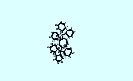 C1=CC([Si](c2ccccc2)(c2ccccc2)c2ccccc2)=CC=C(C2(c3ccccc3)c3ccccc3-c3ccccc32)C1